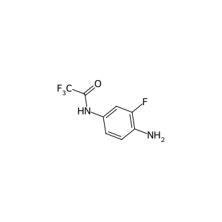 Nc1ccc(NC(=O)C(F)(F)F)cc1F